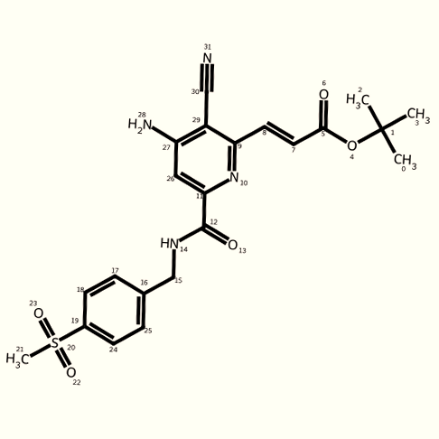 CC(C)(C)OC(=O)/C=C/c1nc(C(=O)NCc2ccc(S(C)(=O)=O)cc2)cc(N)c1C#N